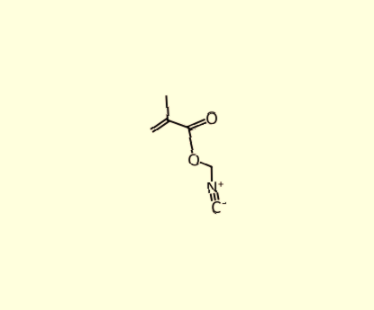 [C-]#[N+]COC(=O)C(=C)C